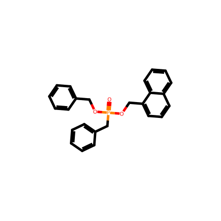 O=P(Cc1ccccc1)(OCc1ccccc1)OCc1cccc2ccccc12